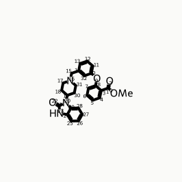 COC(=O)c1ccccc1Oc1cccc(CN2CCC(n3c(=O)[nH]c4ccccc43)CC2)c1